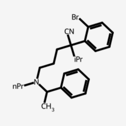 CCCN(CCCC(C#N)(c1ccccc1Br)C(C)C)C(C)c1ccccc1